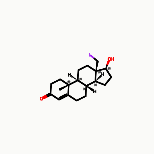 C[C@]12CCC(=O)C=C1CC[C@H]1[C@@H]3CC[C@H](O)[C@@]3(CI)CC[C@@H]12